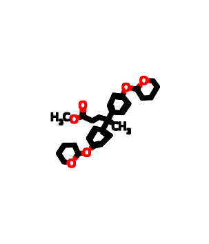 COC(=O)CCC(C)(c1ccc(OC2CCCCO2)cc1)c1ccc(OC2CCCCO2)cc1